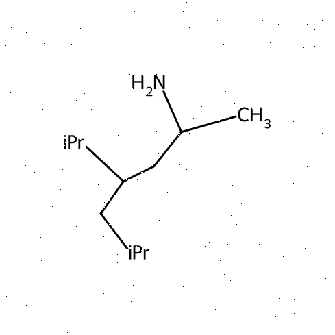 CC(C)CC(CC(C)N)C(C)C